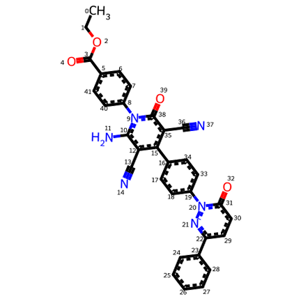 CCOC(=O)c1ccc(-n2c(N)c(C#N)c(-c3ccc(-n4nc(-c5ccccc5)ccc4=O)cc3)c(C#N)c2=O)cc1